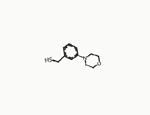 SCc1cccc(N2CCOCC2)c1